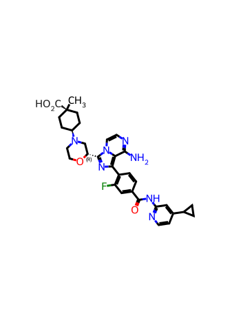 C[C@]1(C(=O)O)CC[C@@H](N2CCO[C@@H](c3nc(-c4ccc(C(=O)Nc5cc(C6CC6)ccn5)cc4F)c4c(N)nccn34)C2)CC1